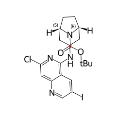 CC(C)(C)OC(=O)N1[C@@H]2CC[C@H]1CC(Nc1nc(Cl)cc3ncc(I)cc13)C2